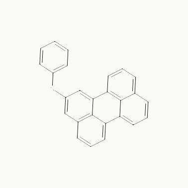 c1ccc(Nc2cc3cccc4c5cccc6cccc(c(c2)c34)c65)cc1